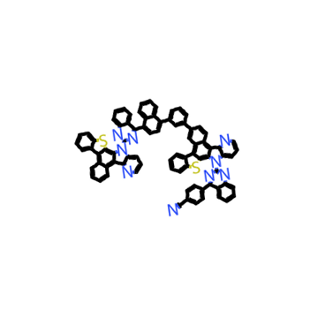 N#Cc1ccc(-c2nc(-n3c4cccnc4c4c5ccc(-c6cccc(-c7ccc(-c8nc(-n9c%10cccnc%10c%10c%11ccccc%11c%11c%12ccccc%12sc%11c%109)nc9ccccc89)c8ccccc78)c6)cc5c5c6ccccc6sc5c43)nc3ccccc23)cc1